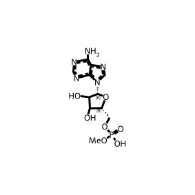 COP(=O)(O)OC[C@H]1O[C@@H](n2cnc3c(N)ncnc32)C(O)C1O